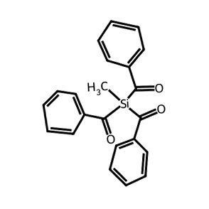 C[Si](C(=O)c1ccccc1)(C(=O)c1ccccc1)C(=O)c1ccccc1